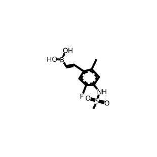 Cc1cc(NS(C)(=O)=O)c(F)cc1/C=C/B(O)O